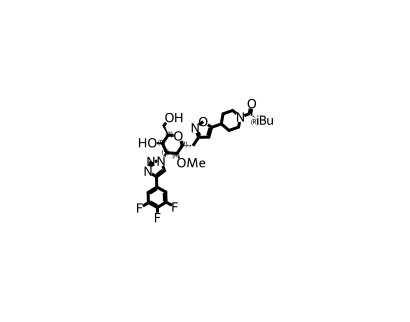 CC[C@@H](C)C(=O)N1CCC(c2cc(C[C@H]3O[C@H](CO)[C@H](O)[C@H](n4cc(-c5cc(F)c(F)c(F)c5)nn4)[C@H]3OC)no2)CC1